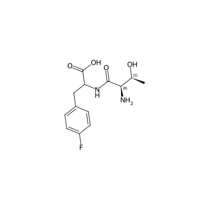 C[C@H](O)[C@@H](N)C(=O)NC(Cc1ccc(F)cc1)C(=O)O